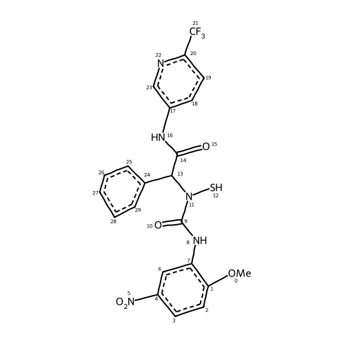 COc1ccc([N+](=O)[O-])cc1NC(=O)N(S)C(C(=O)Nc1ccc(C(F)(F)F)nc1)c1ccccc1